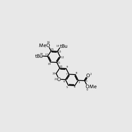 COC(=O)c1ccc2c(c1)C=C(c1cc(C(C)(C)C)c(OC)c(C(C)(C)C)c1)CO2